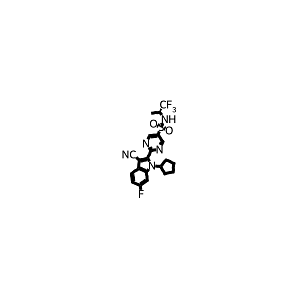 C[C@H](NS(=O)(=O)c1cnc(-c2c(C#N)c3ccc(F)cc3n2C2CCCC2)nc1)C(F)(F)F